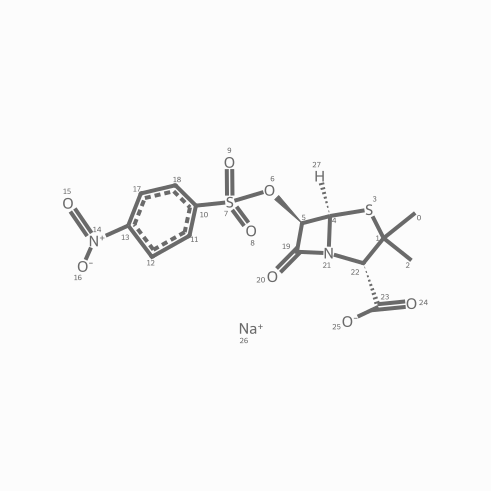 CC1(C)S[C@@H]2[C@H](OS(=O)(=O)c3ccc([N+](=O)[O-])cc3)C(=O)N2[C@H]1C(=O)[O-].[Na+]